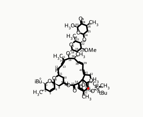 CC[C@@H](C)[C@H]1O[C@]2(C=C[C@@H]1C)C[C@@H]1C[C@@H](C/C=C(\C)[C@@H](O[C@H]3C[C@H](OC)[C@@H](OC4C[C@H](C)C(=O)[C@H](C)O4)[C@H](C)O3)[C@@H](C)/C=C/C=C3\CO[C@@H]4[C@H](O[Si](C)(C)C(C)(C)C)C(C)=C[C@@H](C(=O)O1)[C@]34O)O2